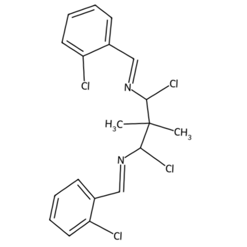 CC(C)(C(Cl)N=Cc1ccccc1Cl)C(Cl)N=Cc1ccccc1Cl